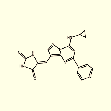 O=C1NC(=O)C(=Cc2cnn3c(NC4CC4)cc(-c4ccncc4)nc23)N1